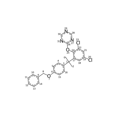 CC(C)(c1ccc(OCc2ccccc2)cc1)c1cc(Cl)cc(Cl)c1Oc1ncncn1